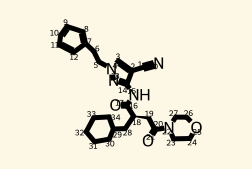 N#Cc1cn(CCc2ccccc2)nc1NC(=O)[C@@H](CC(=O)N1CCOCC1)CC1CCCCC1